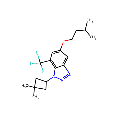 CC(C)CCOc1cc(C(F)(F)F)c2c(c1)nnn2C1CC(C)(C)C1